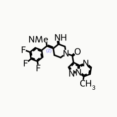 CN/C(=C1/CCN(C(=O)c2cnn3c(C)ccnc23)CC1=N)c1cc(F)c(F)c(F)c1